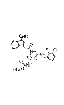 CC(C)(C)OC(=O)N[C@H]1C[C@@H](N(CC(=O)NCc2cccc(Cl)c2F)C(=O)Cn2nc(C=O)c3ccccc32)C1